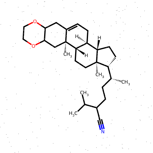 CC(C)C(C#N)CC[C@@H](C)[C@H]1CC[C@H]2[C@@H]3CC=C4CC5OCCOC5C[C@]4(C)[C@H]3CC[C@]12C